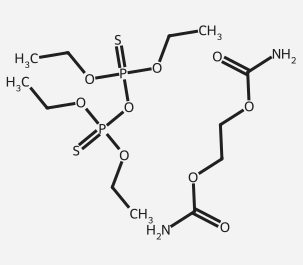 CCOP(=S)(OCC)OP(=S)(OCC)OCC.NC(=O)OCCOC(N)=O